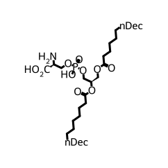 CCCCCCCCCCCCCCCCC(=O)O[C@H](COC(=O)CCCCCCCCCCCCCCC)COP(=O)(O)OC[C@H](N)C(=O)O